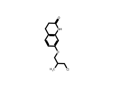 CC(CCl)COc1ccc2c(c1)NC(=O)CC2